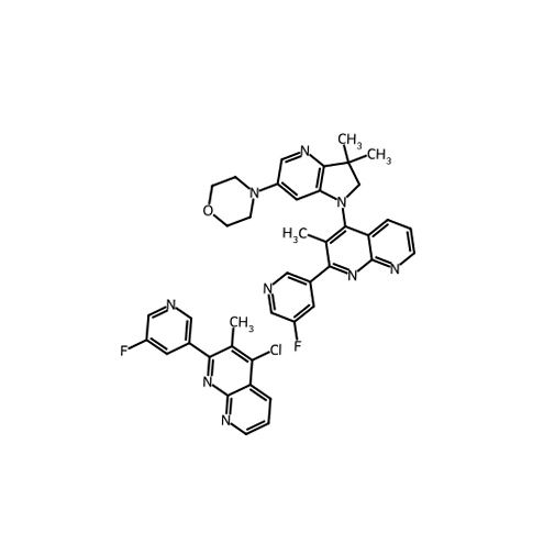 Cc1c(-c2cncc(F)c2)nc2ncccc2c1Cl.Cc1c(-c2cncc(F)c2)nc2ncccc2c1N1CC(C)(C)c2ncc(N3CCOCC3)cc21